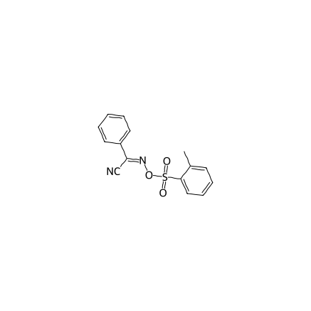 Cc1ccccc1S(=O)(=O)O/N=C(\C#N)c1ccccc1